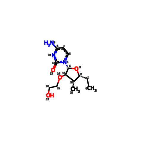 CC[C@H]1O[C@@H](n2ccc(N)nc2=O)C(OCCO)[C@H]1C